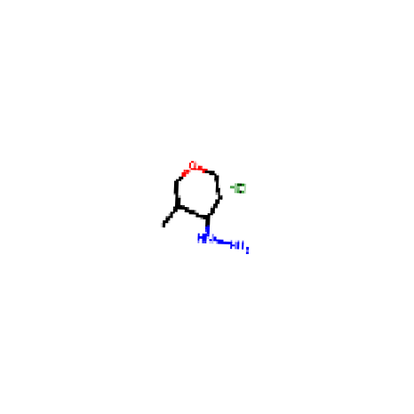 CC1COCCC1NN.Cl